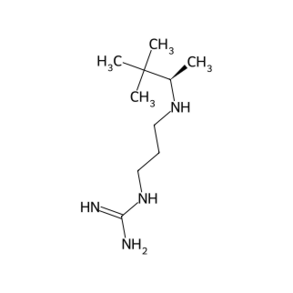 C[C@@H](NCCCNC(=N)N)C(C)(C)C